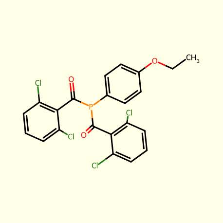 CCOc1ccc(P(C(=O)c2c(Cl)cccc2Cl)C(=O)c2c(Cl)cccc2Cl)cc1